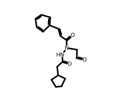 O=[C]CN(NC(=O)CC1CCCC1)C(=O)C=Cc1ccccc1